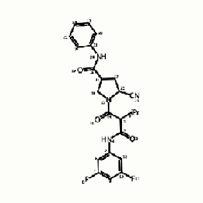 CC(C)C(C(=O)Nc1cc(F)cc(F)c1)C(=O)N1CC(C(=O)Nc2ccccc2)CC1C#N